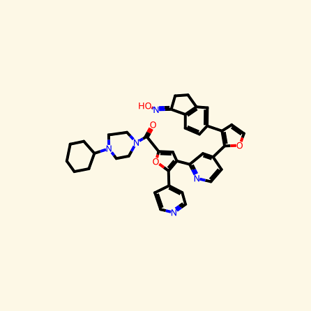 O=C(c1cc(-c2cc(-c3occc3-c3ccc4c(c3)CCC4=NO)ccn2)c(-c2ccncc2)o1)N1CCN(C2CCCCC2)CC1